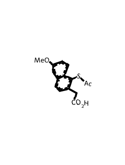 COc1ccc2c(SC(C)=O)c(CC(=O)O)ccc2c1